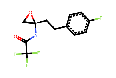 O=C(N[C@]1(CCc2ccc(F)cc2)CO1)C(F)(F)F